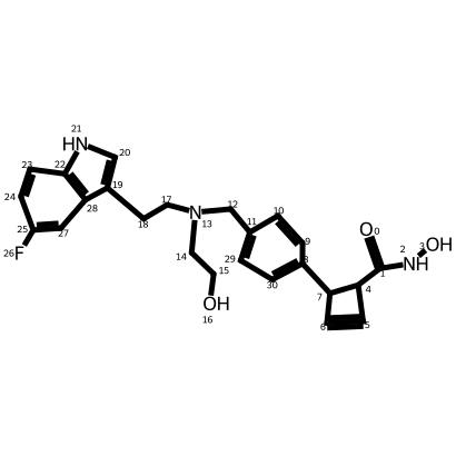 O=C(NO)C1C#CC1c1ccc(CN(CCO)CCc2c[nH]c3ccc(F)cc23)cc1